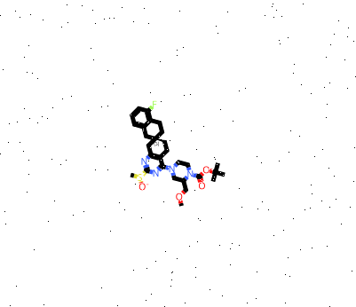 COCC1CN(c2nc([S+](C)[O-])nc3c2CC[C@@]2(CCc4c(F)cccc4C2)C3)CCN1C(=O)OC(C)(C)C